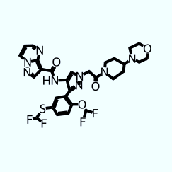 O=C(Nc1cn(CC(=O)N2CCC(N3CCOCC3)CC2)nc1-c1cc(SC(F)F)ccc1OC(F)F)c1cnn2cccnc12